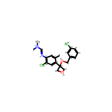 CCN(C)C=Nc1cc(C)c(C2(OCc3cccc(Br)c3)COC2)cc1Cl